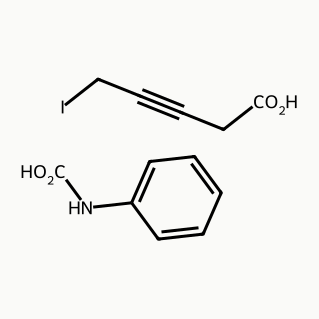 O=C(O)CC#CCI.O=C(O)Nc1ccccc1